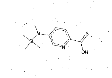 CN(c1ccc(C(O)=S)nc1)[Si](C)(C)C